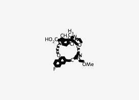 COCCn1nc2cc1CCc1cc(c3ccc(F)cc3c1)OCCCn1c(C(=O)O)c(C)c3c(c(Cl)ccc31)-c1c(C)nn3c1C(CC2)OCC3